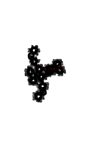 c1ccc(Oc2ccc(-c3cc(-c4ccc(Oc5ccccc5)cc4)cc(C4(c5cc(-c6ccc(Oc7ccccc7)cc6)cc(-c6ccc(Oc7ccccc7)cc6)c5)c5ccccc5-c5ccccc54)c3)cc2)cc1